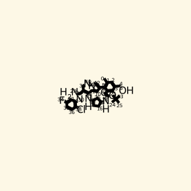 Cc1cc(CO)ccc1-c1cc2c(N[C@@H]3CC[C@H](NC(=O)OC(C)(C)C)C3)c(C(N)=Nc3cc(F)ccc3Cl)cnn2c1